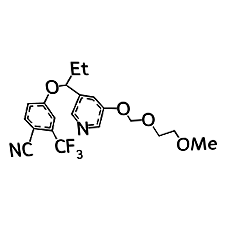 CCC(Oc1ccc(C#N)c(C(F)(F)F)c1)c1cncc(OCOCCOC)c1